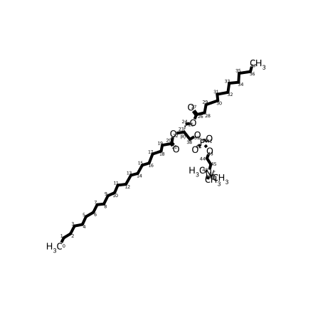 CCCCCCCCCCCCCCCCCCCCC(=O)O[C@H](COC(=O)CCCCCCCCCC)COP(=O)([O-])OCC[N+](C)(C)C